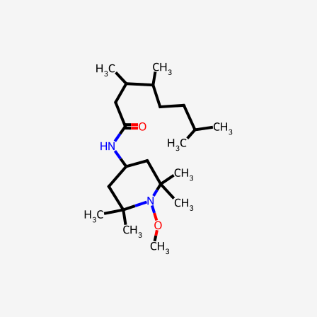 CON1C(C)(C)CC(NC(=O)CC(C)C(C)CCC(C)C)CC1(C)C